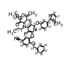 CCCN(c1c(F)c(Oc2cccc(-c3nccn3C)c2)nc(Oc2cc(C#N)ccc2OCc2ccccc2)c1F)C(CC(C)C)C(=O)OCC